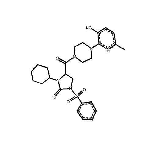 Cc1ccc(C#N)c(N2CCN(C(=O)C3CN(S(=O)(=O)c4ccccc4)C(=O)N3C3CCCCC3)CC2)n1